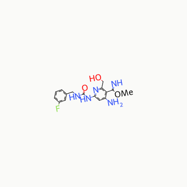 COC(=N)c1c(N)cc(NC(=O)NCc2cccc(F)c2)nc1CO